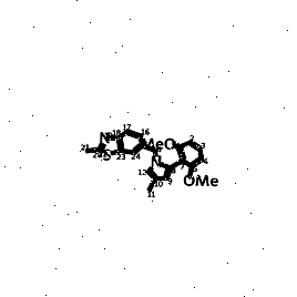 COc1cccc(OC)c1-c1cc(C)cn1Cc1ccc2nc(C)sc2c1